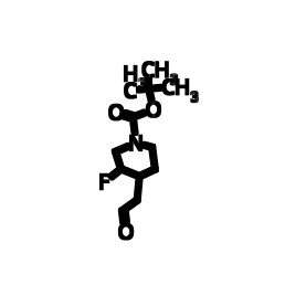 CC(C)(C)OC(=O)N1CCC(CC=O)C(F)C1